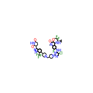 Cn1nc(C2CCC(=O)NC2=O)c2ccc(C3CCN(CC4CCN(c5ncc(Cl)c(Nc6cc7c8c(c(=O)n(C)c7cc6F)OCC(F)(F)[C@H](C6CC6)N8)n5)CC4)CC3)c(C(F)(F)F)c21